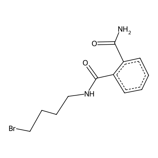 NC(=O)c1ccccc1C(=O)NCCCCBr